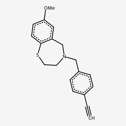 C#Cc1ccc(CN2CCSc3ccc(OC)cc3C2)cc1